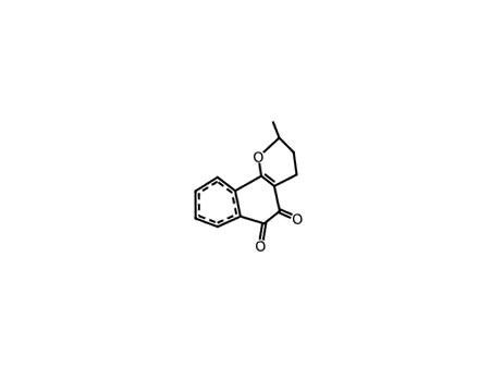 CC1CCC2=C(O1)c1ccccc1C(=O)C2=O